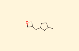 CC1CCC(CC2COC2)C1